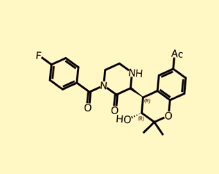 CC(=O)c1ccc2c(c1)[C@H](C1NCCN(C(=O)c3ccc(F)cc3)C1=O)[C@@H](O)C(C)(C)O2